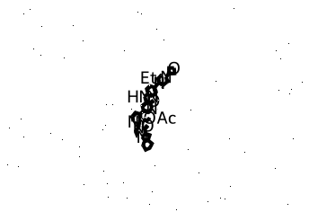 CC[C@H]1CN(C2COC2)CCN1c1ccc(Nc2cc(-c3ccnc(N4CCn5c(cc6c5CCCC6)C4=O)c3COC(C)=O)cn(C)c2=O)nc1